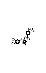 Cc1cc(OC(=O)c2ccc([N+](=O)[O-])cc2)n(C(C)c2ccc(Cl)c(Cl)c2)n1